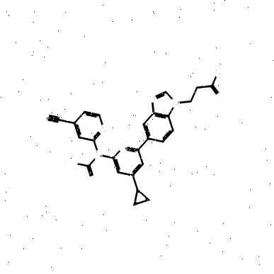 N#Cc1ccnc(N(C(=O)O)c2cc(C3CC3)cc(-c3ccc4c(c3)ncn4CCC(N)=O)n2)c1